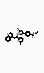 CCOC(=O)c1ccc(C2CC(=O)N(N=C(Cc3ccnc4ccccc34)c3cccc(C)n3)C2)cc1